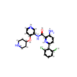 Nc1ccc(-c2c(F)cccc2F)nc1C(=O)Nc1cnccc1OC1CCNCC1